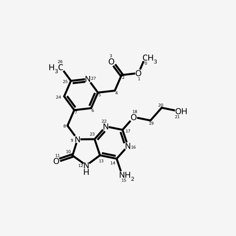 COC(=O)Cc1cc(Cn2c(=O)[nH]c3c(N)nc(OCCO)nc32)cc(C)n1